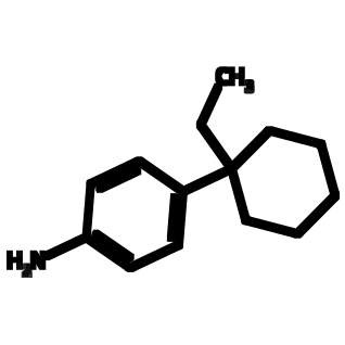 CCC1(c2ccc(N)cc2)CCCCC1